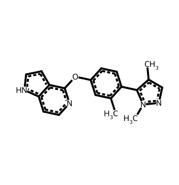 Cc1cc(Oc2nccc3[nH]ccc23)ccc1-c1c(C)cnn1C